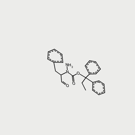 CCC(OC(=O)N(N)C(C=O)Cc1ccccc1)(c1ccccc1)c1ccccc1